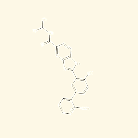 CCCC(CC)NC(=O)c1ccc2[nH]c(-c3cc(-c4cccnc4OC)ccc3O)nc2c1